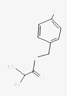 CC(C)C(N)C(=O)OCc1ccc(F)cc1